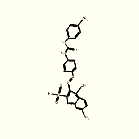 Nc1ccc(NC(=O)Nc2ccc(N=Nc3c(S(=O)(=O)O)cc4cc(N)ccc4c3O)cc2)cc1